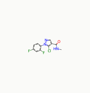 CNC(=O)c1cnn(-c2ccc(F)cc2F)c1Cl